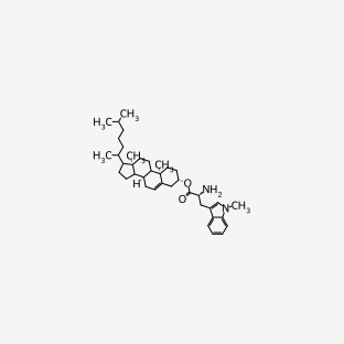 CC(C)CCCC(C)C1CCC2[C@@H]3CC=C4C[C@@H](OC(=O)[C@@H](N)Cc5cn(C)c6ccccc56)CC[C@]4(C)C3CC[C@]12C